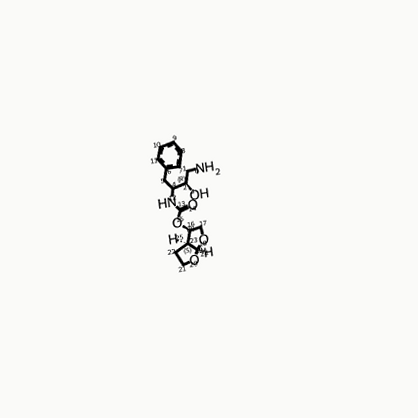 NC[C@@H](O)C(Cc1ccccc1)NC(=O)O[C@H]1CO[C@H]2OCC[C@H]21